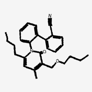 CCCCOCc1c(C)cc(CCCC)n(-c2ccccc2-c2ccccc2C#N)c1=O